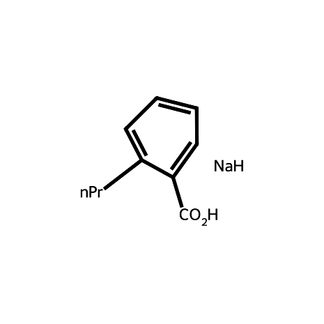 CCCc1ccccc1C(=O)O.[NaH]